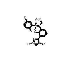 CCn1cc(Br)c(-c2cccc(N(COC)S(=O)(=O)c3cc(F)ccc3F)c2F)n1